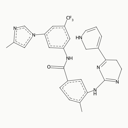 Cc1cn(-c2cc(NC(=O)c3ccc(C)c(NC4=NCCC(C5=CC=CNC5)=N4)c3)cc(C(F)(F)F)c2)cn1